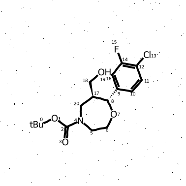 CC(C)(C)OC(=O)N1CCO[C@@H](c2ccc(Cl)c(F)c2)[C@H](CO)C1